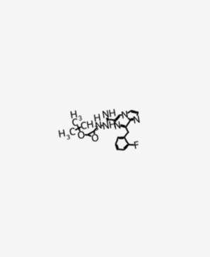 CC(C)(C)OC1OC1NNC(=N)c1cn2ccnc2c(Cc2ccccc2F)n1